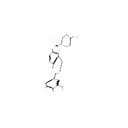 CCCC1CCC(C(F)(F)Oc2ccc3c(c2)CCC(c2cc(F)c(F)c(F)c2)O3)CC1